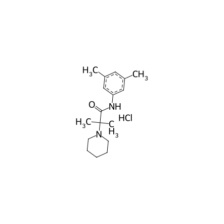 Cc1cc(C)cc(NC(=O)C(C)(C)N2CCCCC2)c1.Cl